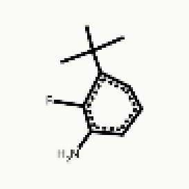 CC(C)(C)c1cccc(N)c1F